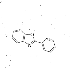 [c]1cccc2oc(-c3ccccc3)nc12